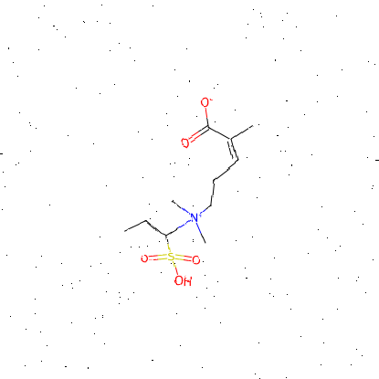 CCC([N+](C)(C)CCC=C(C)C(=O)[O-])S(=O)(=O)O